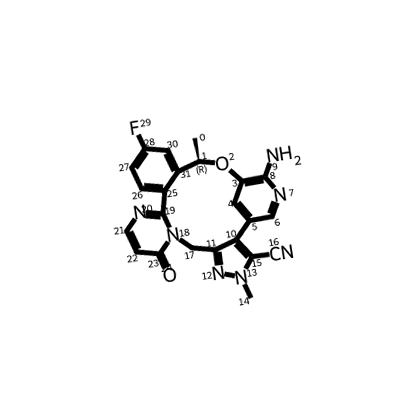 C[C@H]1Oc2cc(cnc2N)-c2c(nn(C)c2C#N)Cn2c(nccc2=O)-c2ccc(F)cc21